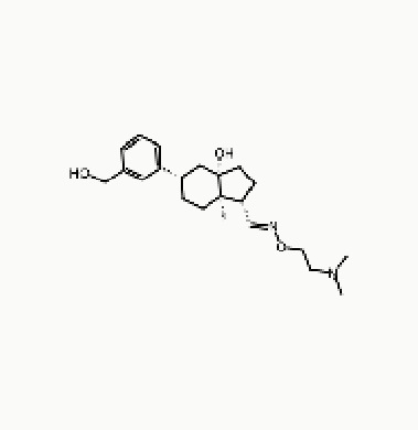 CN(C)CCON=C[C@H]1CC[C@]2(O)C[C@@H](c3cccc(CO)c3)CC[C@]12C